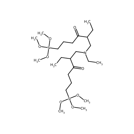 CCC(CN(CC)CC(CC)C(=O)CCC[Si](OC)(OC)OC)C(=O)CCC[Si](OC)(OC)OC